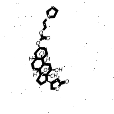 C[C@]12CC[C@H](OC(=O)OCCN3CCCC3)C[C@H]1CC[C@@H]1[C@@H]2C[C@@H](O)[C@]2(C)[C@@H](C3=CC(=O)OC3)CC[C@]12O